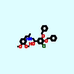 COc1ccc(CC(C)NCC(O)c2cc(Cl)c(OCc3ccccc3)c(OCc3ccccc3)c2)cc1OC